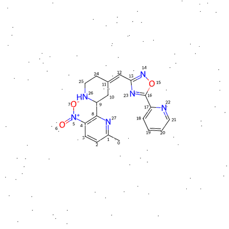 Cc1ccc([N+](=O)[O-])c(C2CC(=Cc3noc(-c4ccccn4)n3)CCN2)n1